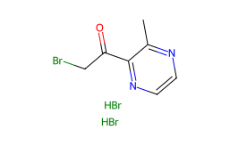 Br.Br.Cc1nccnc1C(=O)CBr